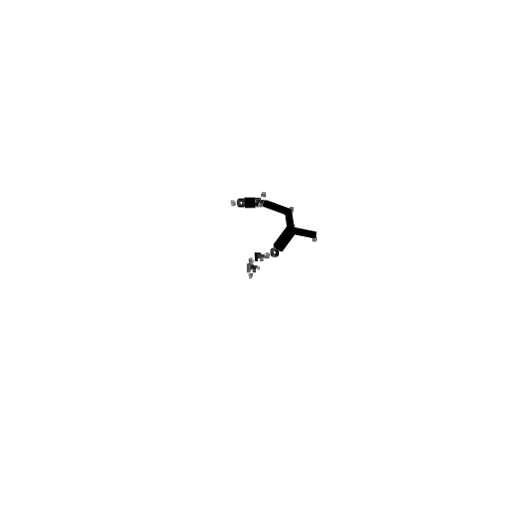 CC(=O)[CH2][Zr]=[O].[Pr].[Pr]